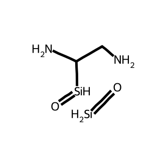 NCC(N)[SiH]=O.O=[SiH2]